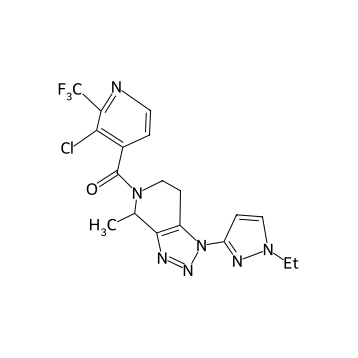 CCn1ccc(-n2nnc3c2CCN(C(=O)c2ccnc(C(F)(F)F)c2Cl)C3C)n1